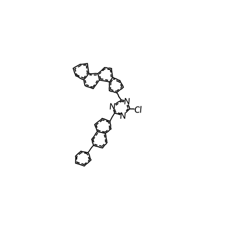 Clc1nc(-c2ccc3cc(-c4ccccc4)ccc3c2)nc(-c2ccc3ccc4c5ccccc5ccc4c3c2)n1